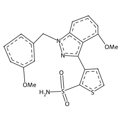 COc1cccc(Cn2nc(-c3ccsc3S(N)(=O)=O)c3c(OC)cccc32)c1